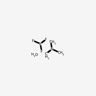 CN(C)C.FB(F)F.O